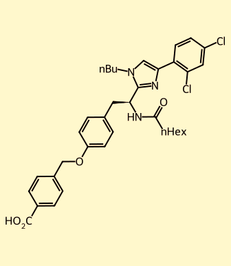 CCCCCCC(=O)N[C@@H](Cc1ccc(OCc2ccc(C(=O)O)cc2)cc1)c1nc(-c2ccc(Cl)cc2Cl)cn1CCCC